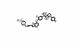 CN1CCN(CC#Cc2cc3nccc(Oc4ccc(NC(=O)C5(C)CCN(c6ccc(F)cc6)C5=O)cc4F)c3s2)CC1